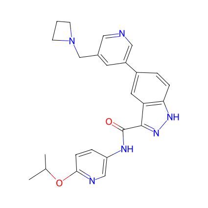 CC(C)Oc1ccc(NC(=O)c2n[nH]c3ccc(-c4cncc(CN5CCC5)c4)cc23)cn1